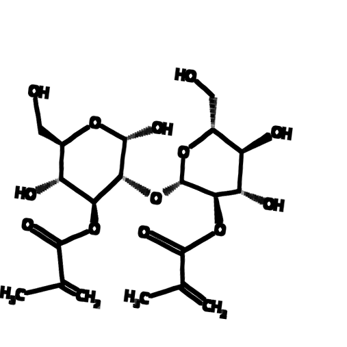 C=C(C)C(=O)O[C@H]1[C@H](O[C@@H]2[C@@H](OC(=O)C(=C)C)[C@H](O)[C@@H](CO)O[C@@H]2O)O[C@H](CO)[C@@H](O)[C@@H]1O